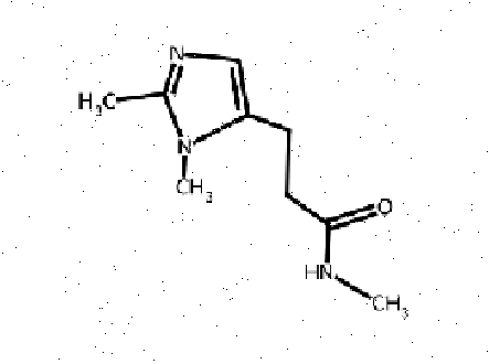 CNC(=O)CCc1cnc(C)n1C